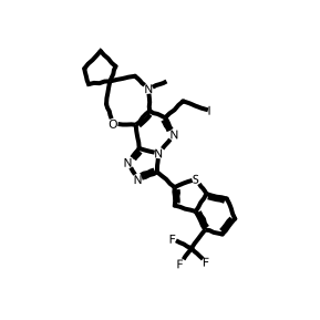 CN1CC2(CCCC2)COc2c1c(CI)nn1c(-c3cc4c(C(F)(F)F)cccc4s3)nnc21